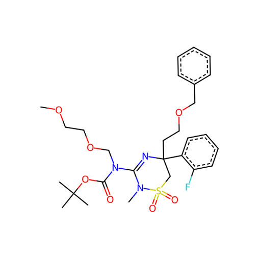 COCCOCN(C(=O)OC(C)(C)C)C1=NC(CCOCc2ccccc2)(c2ccccc2F)CS(=O)(=O)N1C